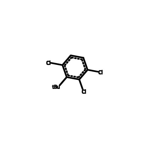 CC(C)(C)c1c(Cl)ccc(Cl)c1Cl